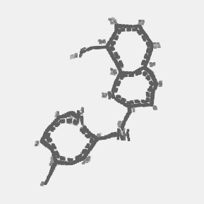 Cc1ccnc(Nc2ccc3cccc(F)c3n2)c1